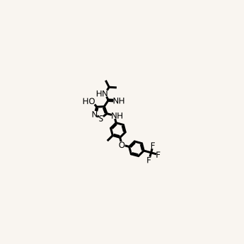 Cc1cc(Nc2snc(O)c2C(=N)NC(C)C)ccc1Oc1ccc(C(F)(F)F)cc1